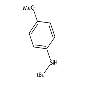 COc1ccc([SiH]C(C)(C)C)cc1